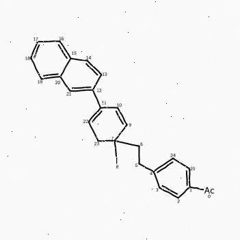 CC(=O)c1ccc(CCC2(I)C=CC(c3ccc4ccccc4c3)=CC2)cc1